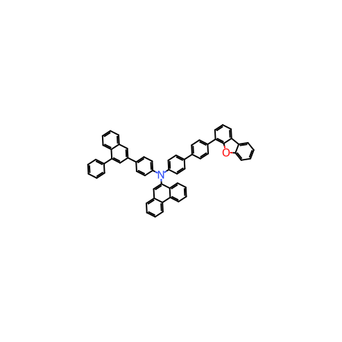 c1ccc(-c2cc(-c3ccc(N(c4ccc(-c5ccc(-c6cccc7c6oc6ccccc67)cc5)cc4)c4cc5ccccc5c5ccccc45)cc3)cc3ccccc23)cc1